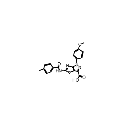 COc1ccc(-n2nc(C(=O)O)c3sc(NC(=O)c4ccc(C)cc4)nc32)cc1